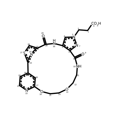 O=C(O)CCn1cc2c(n1)C(=O)NCCOCCOc1cc(ccn1)-c1nc(cs1)C(=O)N2